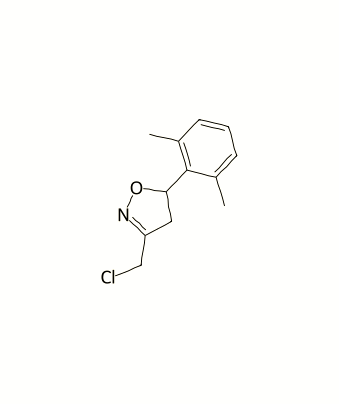 Cc1cccc(C)c1C1CC(CCl)=NO1